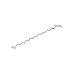 CCCCCCCCCCCCCCCCCC=COC